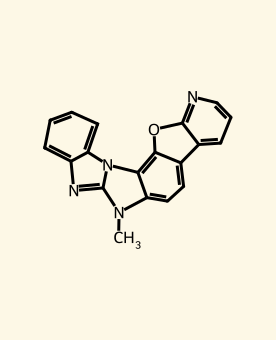 Cn1c2ccc3c4cccnc4oc3c2n2c3ccccc3nc12